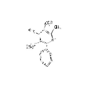 CCOC(=O)C1=C(C)NC(c2ccccc2)=C(C(=O)OCC)C1C=O